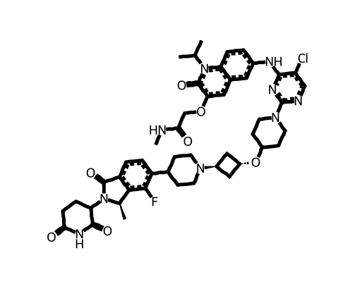 CNC(=O)COc1cc2cc(Nc3nc(N4CCC(O[C@H]5C[C@H](N6CCC(c7ccc8c(c7F)[C@@H](C)N(C7CCC(=O)NC7=O)C8=O)CC6)C5)CC4)ncc3Cl)ccc2n(C(C)C)c1=O